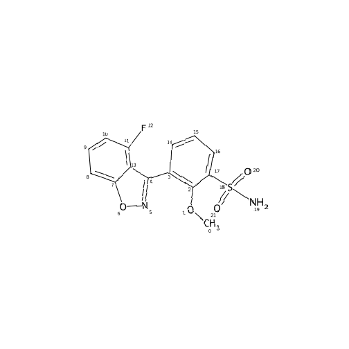 COc1c(-c2noc3cccc(F)c23)cccc1S(N)(=O)=O